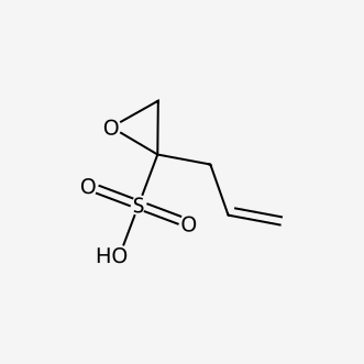 C=CCC1(S(=O)(=O)O)CO1